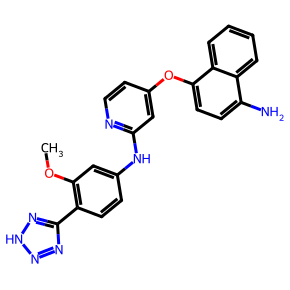 COc1cc(Nc2cc(Oc3ccc(N)c4ccccc34)ccn2)ccc1-c1nn[nH]n1